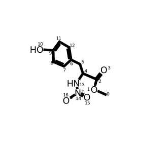 COC(=O)C(Cc1ccc(O)cc1)N[N+](=O)[O-]